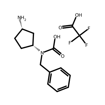 N[C@H]1CC[C@@H](N(Cc2ccccc2)C(=O)O)C1.O=C(O)C(F)(F)F